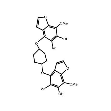 COc1c(O)c(C(C)=O)c(OC2CCC(Oc3c(C(C)=O)c(O)c(OC)c4occc34)CC2)c2ccoc12